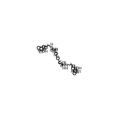 CC[C@H]1[C@@H](O)[C@@H]2[C@H](CC[C@]3(C)[C@@H]([C@H](C)CCNC(=S)NS(=O)(=O)c4ccc(C5CCN(c6ccc(S(=O)(=O)NC(=O)NCC[C@@H](C)[C@H]7CC[C@H]8[C@H]9C(CC[C@]78C)[C@@]7(C)CCCC[C@H]7[C@@H](CC)[C@H]9O)cn6)CC5)s4)CC[C@@H]23)[C@@]2(C)CCCC[C@@H]12